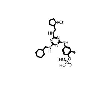 CCN1CCCC1CNc1nc(NCC2CCCCC2)nc(Nc2ccc(OP(=O)(O)O)c(F)c2)n1